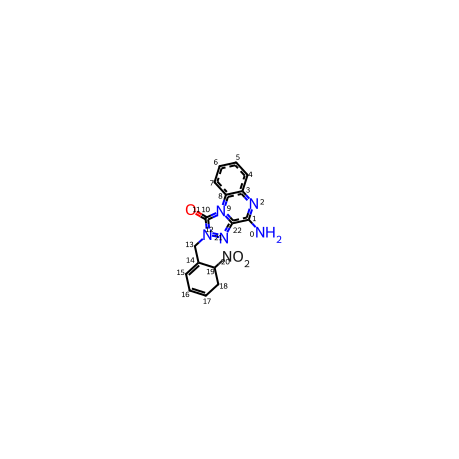 Nc1nc2ccccc2n2c(=O)n(CC3=CC=CCC3[N+](=O)[O-])nc12